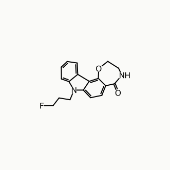 O=C1NCCOc2c1ccc1c2c2ccccc2n1CCCF